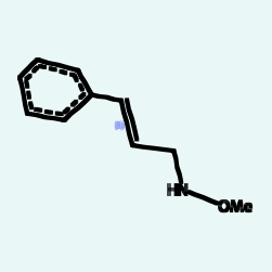 CONC/C=C/c1ccccc1